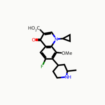 COc1c(C2CCNC(C)C2)c(F)cc2c(=O)c(C(=O)O)cn(C3CC3)c12